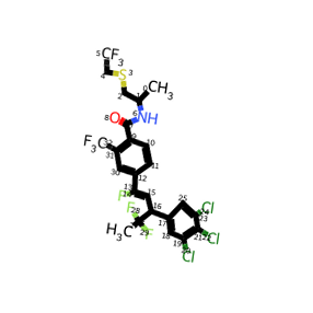 CC(CSCC(F)(F)F)NC(=O)c1ccc(/C(F)=C/C(c2cc(Cl)c(Cl)c(Cl)c2)C(C)(F)F)cc1C(F)(F)F